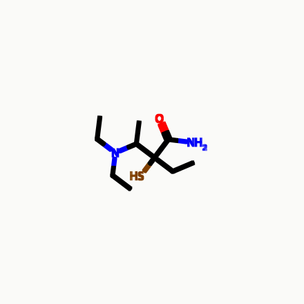 CCN(CC)C(C)C(S)(CC)C(N)=O